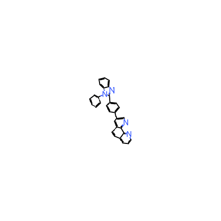 c1ccc(-n2c(-c3ccc(-c4cnc5c(ccc6cccnc65)c4)cc3)nc3ccccc32)cc1